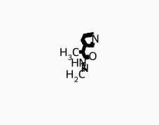 C=NNC(=O)C(C)c1cccnc1